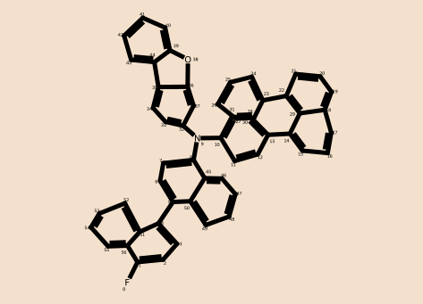 Fc1ccc(-c2ccc(N(c3ccc(-c4cccc5cccc(-c6ccccc6)c45)cc3)c3ccc4c(c3)oc3ccccc34)c3ccccc23)c2ccccc12